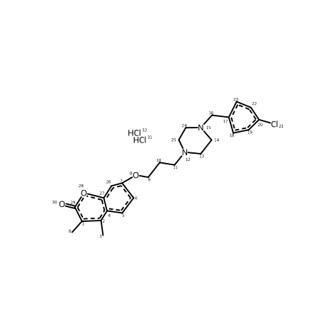 Cc1c(C)c2ccc(OCCCN3CCN(Cc4ccc(Cl)cc4)CC3)cc2oc1=O.Cl.Cl